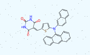 O=C1NC(=O)C(=Cc2ccc(N(c3ccc4ccccc4c3)c3c4ccccc4cc4ccccc34)s2)C(=O)N1